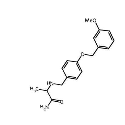 COc1cccc(COc2ccc(CNC(C)C(N)=O)cc2)c1